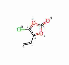 C=Cc1oc(=O)oc1Cl